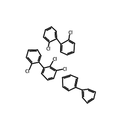 Clc1ccccc1-c1cccc(Cl)c1Cl.Clc1ccccc1-c1ccccc1Cl.c1ccc(-c2ccccc2)cc1